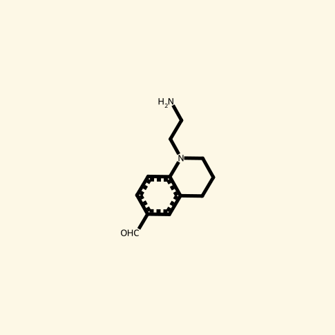 NCCN1CCCc2cc(C=O)ccc21